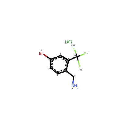 Cl.NCc1ccc(Br)cc1C(F)(F)F